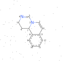 C1=CN2C=NCCC2c2ccccc21